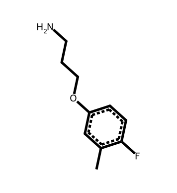 Cc1cc(OCCCN)ccc1F